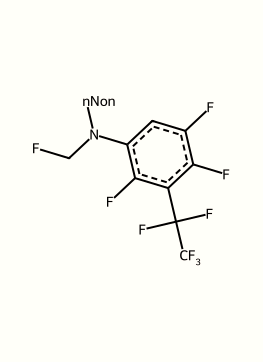 CCCCCCCCCN(CF)c1cc(F)c(F)c(C(F)(F)C(F)(F)F)c1F